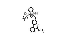 CC(C)(C)OC(=O)Nc1ccccc1NC(=O)Cc1ccc(-c2ccccc2C(N)=O)cc1